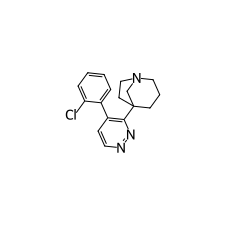 Clc1ccccc1-c1ccnnc1C12CCCN(CC1)C2